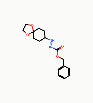 O=C(NNC1CCC2(CC1)OCCO2)OCc1ccccc1